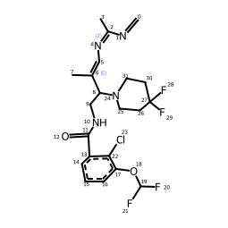 C=N/C(C)=N\C=C(/C)C(CNC(=O)c1cccc(OC(F)F)c1Cl)N1CCC(F)(F)CC1